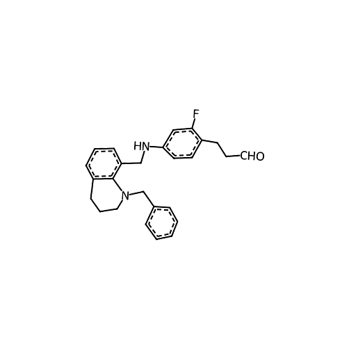 O=CCCc1ccc(NCc2cccc3c2N(Cc2ccccc2)CCC3)cc1F